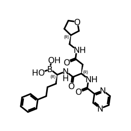 O=C(C[C@@H](NC(=O)c1cnccn1)C(=O)N[C@@H](CCCc1ccccc1)B(O)O)NC[C@H]1CCOC1